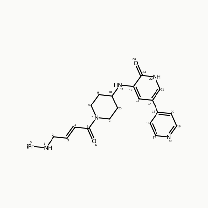 CC(C)NCC=CC(=O)N1CCC(Nc2cc(-c3ccncc3)c[nH]c2=O)CC1